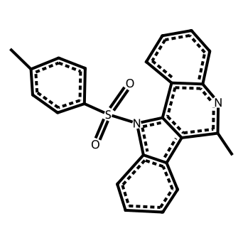 Cc1ccc(S(=O)(=O)n2c3ccccc3c3c(C)nc4ccccc4c32)cc1